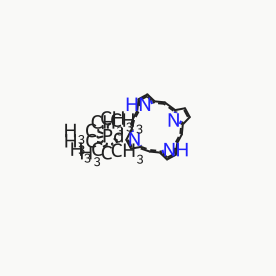 C1=Cc2cc3ccc(cc4nc(cc5ccc(cc1n2)[nH]5)C=C4)[nH]3.C[CH2][Pd]([CH2]C)([CH2]C)([CH2]C)([CH2]C)([CH2]C)([CH2]C)[CH2]C